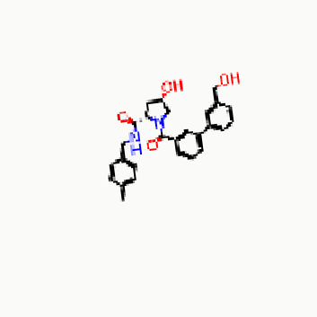 Cc1ccc(CNC(=O)[C@@H]2C[C@@H](O)CN2C(=O)c2cccc(-c3cccc(CO)c3)c2)cc1